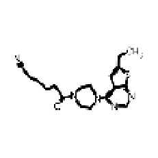 CCc1cc2c(N3CCN(C(=O)CCCCC#N)CC3)ncnc2s1